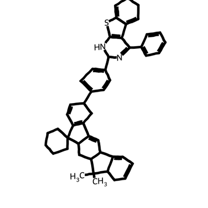 CC1(C)C2CC=CC=C2C2C=C3C4=C(C=CC(c5ccc(C6N=C(c7ccccc7)c7c(sc8c7=CCCC=8)N6)cc5)C4)C4(CCCCC4)C3CC21